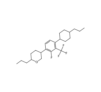 CCCC1CCC(c2ccc(C3CCC(CCC)OC3)c(F)c2C(F)(F)F)CC1